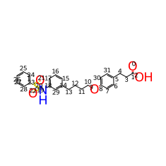 O=C(O)CCc1ccc(OCCCCc2cccc(NS(=O)(=O)c3ccccc3)c2)cc1